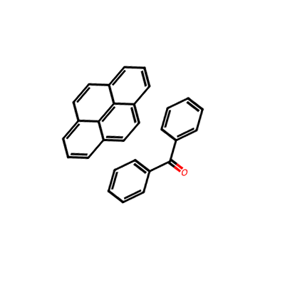 O=C(c1ccccc1)c1ccccc1.c1cc2ccc3cccc4ccc(c1)c2c34